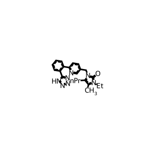 CCCc1c(C)n(CC)c(=O)n1Cc1ccc(-c2ccccc2-c2nnn[nH]2)nc1